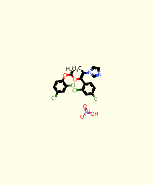 CC(=C(OC(C)Oc1ccc(Cl)cc1Cl)c1ccc(Cl)cc1Cl)n1ccnc1.O=[N+]([O-])O